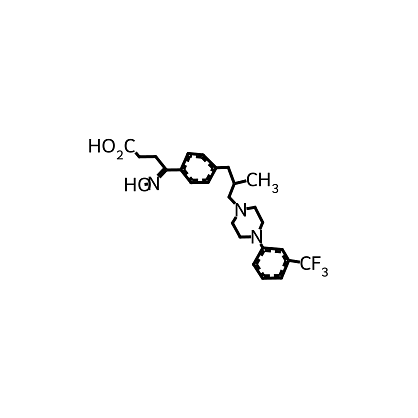 CC(Cc1ccc(C(CCC(=O)O)=NO)cc1)CN1CCN(c2cccc(C(F)(F)F)c2)CC1